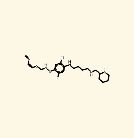 C=N/C=C\SCNSc1cc(Cl)c(NCCCCNCC2CCCCN2)cc1F